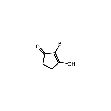 O=C1CCC(O)=C1Br